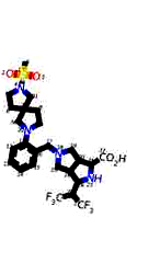 CS(=O)(=O)N1CCC2(CCN(c3ccccc3CN3CC4C(C(=O)O)NC(C(C(F)(F)F)C(F)(F)F)C4C3)C2)C1